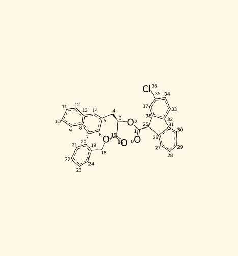 O=C(O[C@H](Cc1ccc2ccccc2c1)C(=O)OCc1ccccc1)C1c2ccccc2-c2ccc(Cl)cc21